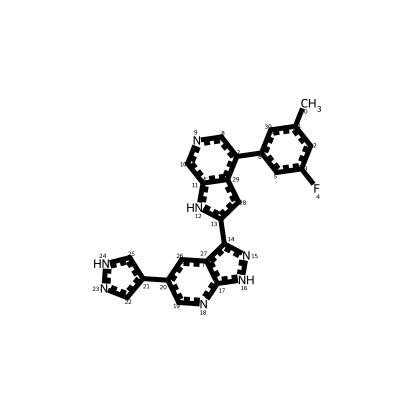 Cc1cc(F)cc(-c2cncc3[nH]c(-c4n[nH]c5ncc(-c6cn[nH]c6)cc45)cc23)c1